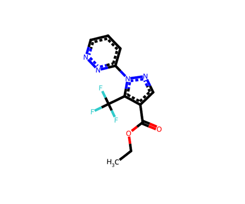 CCOC(=O)c1cnn(-c2cccnn2)c1C(F)(F)F